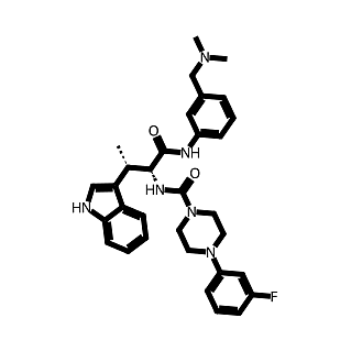 C[C@@H](c1c[nH]c2ccccc12)[C@@H](NC(=O)N1CCN(c2cccc(F)c2)CC1)C(=O)Nc1cccc(CN(C)C)c1